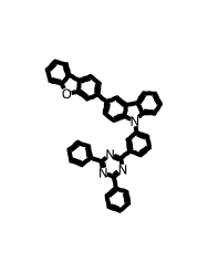 c1ccc(-c2nc(-c3ccccc3)nc(-c3cccc(-n4c5ccccc5c5cc(-c6ccc7c(c6)oc6ccccc67)ccc54)c3)n2)cc1